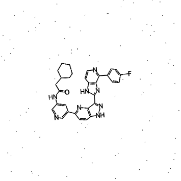 O=C(CC1CCCCC1)Nc1cncc(-c2ccc3[nH]nc(-c4nc5c(-c6ccc(F)cc6)nccc5[nH]4)c3n2)c1